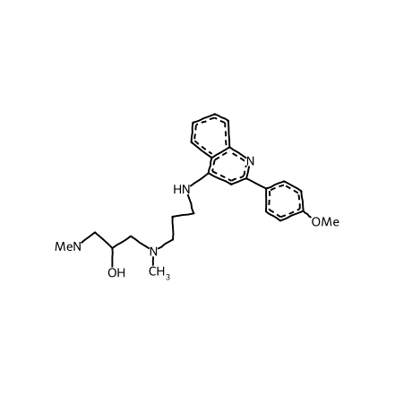 CNCC(O)CN(C)CCCNc1cc(-c2ccc(OC)cc2)nc2ccccc12